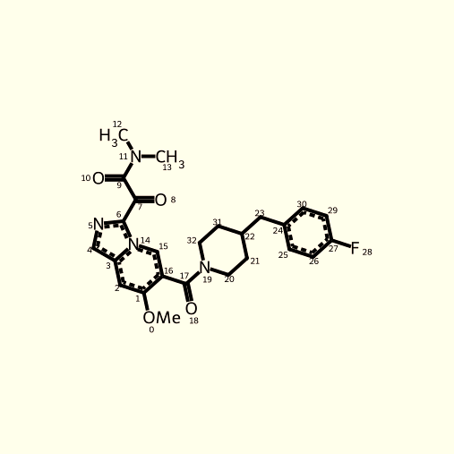 COc1cc2cnc(C(=O)C(=O)N(C)C)n2cc1C(=O)N1CCC(Cc2ccc(F)cc2)CC1